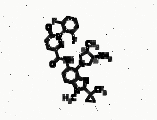 C[C@@H]1CN(c2c(NC(=O)c3ccc(=O)n(-c4c(F)cccc4F)n3)ccc3c2nc(C2(C(F)(F)F)CC2)n3C)C[C@@H]1N